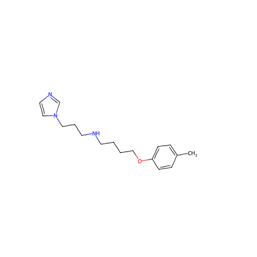 Cc1ccc(OCCCCNCCCn2ccnc2)cc1